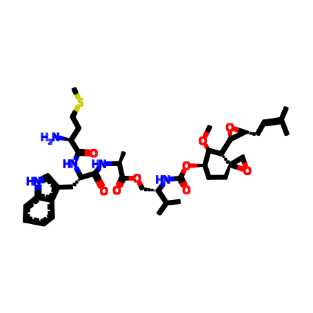 CO[C@H]1[C@H]([C@H]2O[C@@H]2CC=C(C)C)[C@]2(CC[C@H]1OC(=O)N[C@@H](COC(=O)[C@H](C)NC(=O)[C@H](Cc1c[nH]c3ccccc13)NC(=O)[C@@H](N)CCSC)C(C)C)CO2